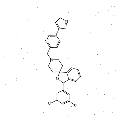 Clc1cc(Cl)cc(C2OC3(CCN(Cc4ccc(C5=CCN=C5)cn4)CC3)c3ccccc32)c1